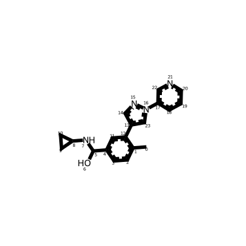 Cc1ccc(C(O)NC2CC2)cc1-c1cnn(-c2cccnc2)c1